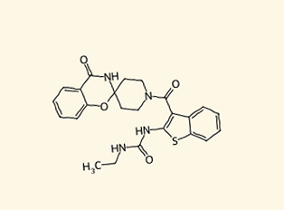 CCNC(=O)Nc1sc2ccccc2c1C(=O)N1CCC2(CC1)NC(=O)c1ccccc1O2